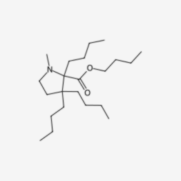 CCCCOC(=O)C1(CCCC)N(C)CCC1(CCCC)CCCC